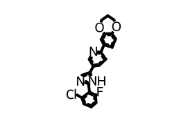 Fc1cccc(Cl)c1-c1ncc(-c2ccc(-c3ccc4c(c3)OCCCO4)nc2)[nH]1